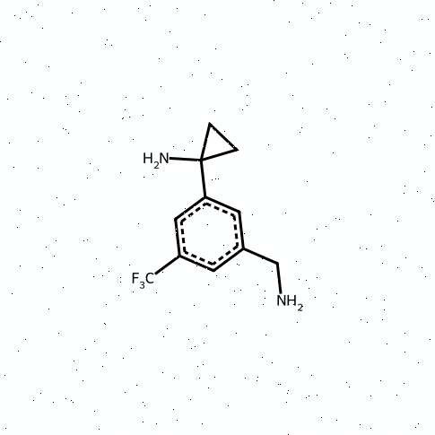 NCc1cc(C(F)(F)F)cc(C2(N)CC2)c1